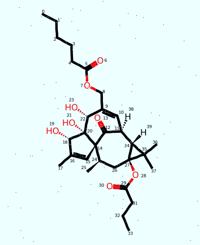 CCCCCC(=O)OCC1=C[C@@H]2C(=O)[C@]3(C=C(C)[C@H](O)[C@@]3(O)[C@@H]1O)[C@H](C)C[C@]1(OC(=O)CCC)[C@H]2C1(C)C